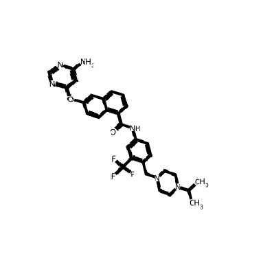 CC(C)N1CCN(Cc2ccc(NC(=O)c3cccc4cc(Oc5cc(N)ncn5)ccc34)cc2C(F)(F)F)CC1